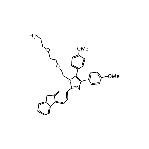 COc1ccc(-c2nc(-c3ccc4c(c3)Cc3ccccc3-4)n(CCOCCOCCN)c2-c2ccc(OC)cc2)cc1